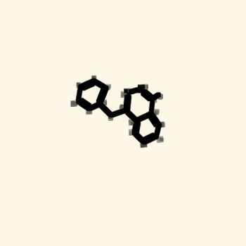 Cc1nnc(Cc2ccccc2)c2ccccc12